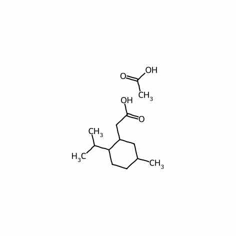 CC(=O)O.CC1CCC(C(C)C)C(CC(=O)O)C1